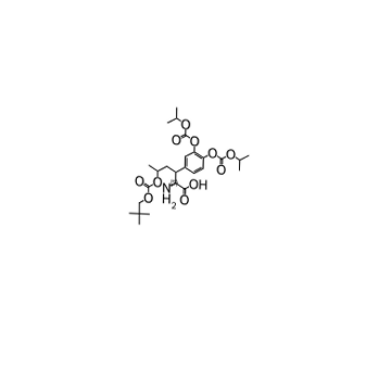 CC(C)OC(=O)Oc1ccc(C(CC(C)OC(=O)OCC(C)(C)C)[C@H](N)C(=O)O)cc1OC(=O)OC(C)C